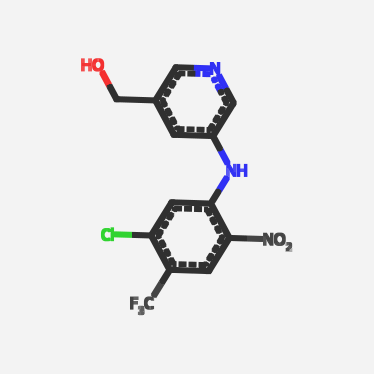 O=[N+]([O-])c1cc(C(F)(F)F)c(Cl)cc1Nc1cncc(CO)c1